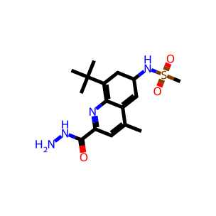 Cc1cc(C(=O)NN)nc2c1=CC(NS(C)(=O)=O)CC=2C(C)(C)C